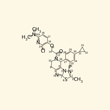 Cc1nn2c3c(nc2s1)CCN(C(=O)COc1ccc(N(C)C)nc1Cl)C3c1ccc(C2CC2)cc1F